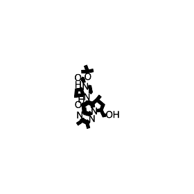 Cc1nc2c(=O)c(N3CCN(C(=O)OC(C)(C)C)[C@H]4CC[C@@H]43)c3n(c2nc1C)C(CO)CC3C